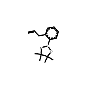 C=CCc1ccccc1B1OC(C)(C)C(C)(C)O1